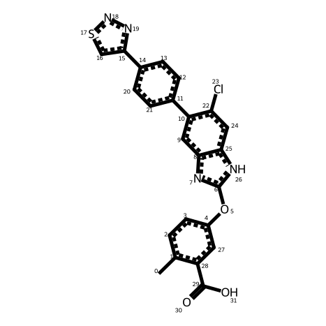 Cc1ccc(Oc2nc3cc(-c4ccc(-c5csnn5)cc4)c(Cl)cc3[nH]2)cc1C(=O)O